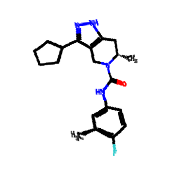 Cc1cc(NC(=O)N2Cc3c(C4CCCC4)n[nH]c3C[C@@H]2C)ccc1F